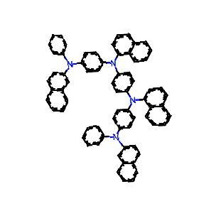 c1ccc(N(c2ccc(N(c3ccc(N(c4ccc(N(c5ccccc5)c5ccc6ccccc6c5)cc4)c4cccc5ccccc45)cc3)c3cccc4ccccc34)cc2)c2ccc3ccccc3c2)cc1